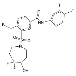 O=C(Nc1ccc(F)c(F)c1)c1ccc(CF)c(S(=O)(=O)N2CCC(O)C(F)(F)CC2)c1